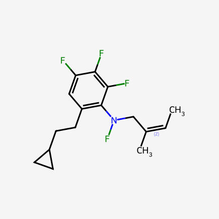 C/C=C(/C)CN(F)c1c(CCC2CC2)cc(F)c(F)c1F